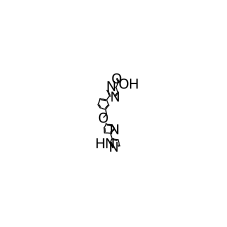 O=C(O)c1cnc(-c2cccc(COc3ccc(-c4ccn[nH]4)nc3)c2)cn1